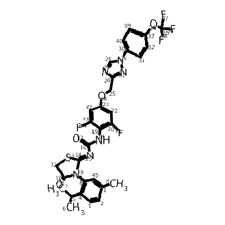 Cc1ccc(C(C)C)c(N2C(=O)CSC2=NC(=O)Nc2c(F)cc(OCc3ncn(-c4ccc(OC(F)(F)F)cc4)n3)cc2F)c1